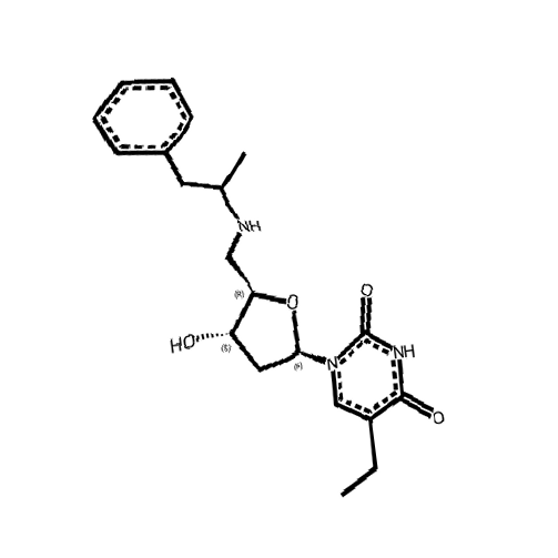 CCc1cn([C@H]2C[C@H](O)[C@@H](CNC(C)Cc3ccccc3)O2)c(=O)[nH]c1=O